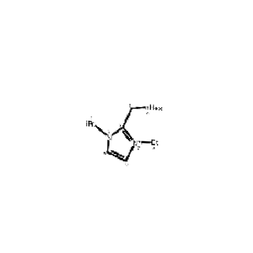 CCCCCCCc1n(C(C)C)cc[n+]1CC